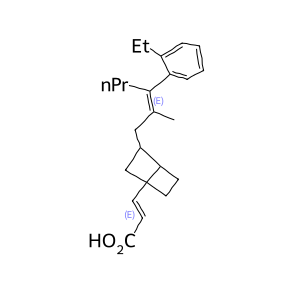 CCC/C(=C(/C)CC1CC2(/C=C/C(=O)O)CCC12)c1ccccc1CC